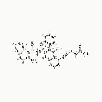 CC(=O)NCC#Cc1cccc2cc([C@@H](C)NC(=O)c3c(N)ncc4cccnc34)n(-c3ccccc3)c(=O)c12